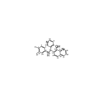 Cc1ccc(NC(c2cccnc2)c2ccc3cccnc3c2O)cc1C